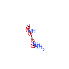 CC(I)OCC(=O)NCCOCCCCCOCCNC(=O)C(C)N